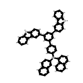 c1ccc2cc(N(c3ccc(-c4cc(-c5ccc6oc7ccccc7c6c5)cc(-c5ccc6oc7ccccc7c6c5)c4)cc3)c3cccc4ccccc34)ccc2c1